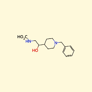 O=C(O)NCC(O)C1CCN(Cc2ccccc2)CC1